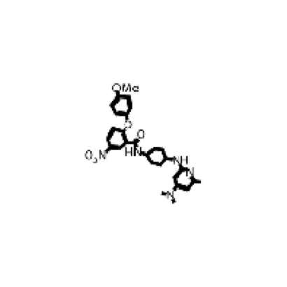 COc1ccc(Oc2ccc([N+](=O)[O-])cc2C(=O)NC2CCC(Nc3cc(N(C)C)cc(C)n3)CC2)cc1